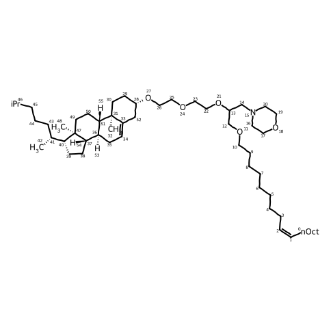 CCCCCCCC/C=C\CCCCCCCCOCC(CN1CCOCC1)OCCOCCO[C@H]1CC[C@@]2(C)C(=CC[C@H]3[C@@H]4CC[C@H]([C@H](C)CCCC(C)C)[C@@]4(C)CC[C@@H]32)C1